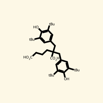 CC(C)(C)c1cc(CC(CCCC(=O)O)(Cc2cc(C(C)(C)C)c(O)c(C(C)(C)C)c2)C(=O)O)cc(C(C)(C)C)c1O